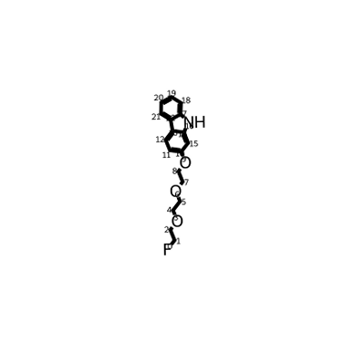 FCCOCCOCCOc1ccc2c(c1)[nH]c1ccccc12